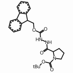 CC(C)(C)OC(=O)N1CCCC1C(=O)NNC(=O)OCC1c2ccccc2-c2ccccc21